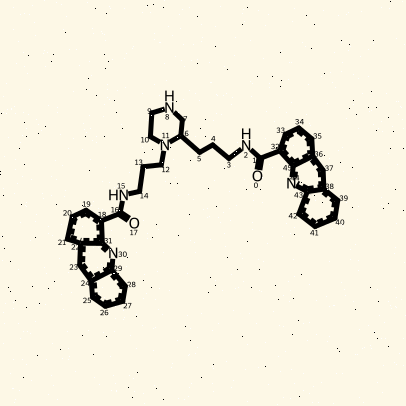 O=C(NCCCC1CNCCN1CCCNC(=O)c1cccc2cc3ccccc3nc12)c1cccc2cc3ccccc3nc12